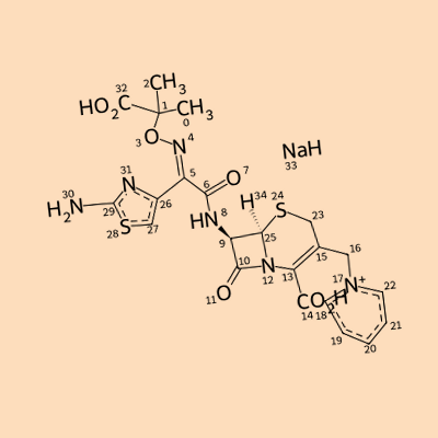 CC(C)(O/N=C(/C(=O)N[C@@H]1C(=O)N2C(C(=O)O)=C(C[n+]3ccccc3)CS[C@H]12)c1csc(N)n1)C(=O)O.[NaH]